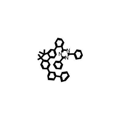 CC1(C)c2ccc(-c3cccc(-c4ccccc4)c3)cc2-c2ccc(-c3ccccc3-c3nc(-c4ccccc4)nc(-c4ccccc4)n3)cc2C1(C)C